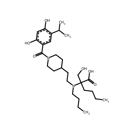 CCCCN(CCC1CCN(C(=O)c2cc(C(C)C)c(O)cc2O)CC1)C(CO)(CCCC)C(=O)O